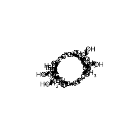 CCC1(C)CC(C(=O)OCCO)CC(C)(C(=O)OCCO)CC(C)(CC)C(=O)OCCOCCOC(=O)C(C)(CC)CC(C)(C(=O)OCCO)CC(C)(C(=O)OCCO)CC(C)(C(C)(C)C)C(=O)OCCOCCOC1=O